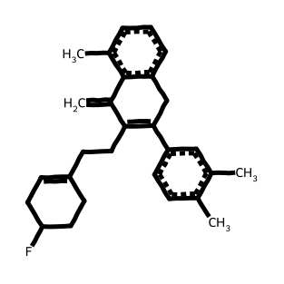 C=C1C(CCC2=CCC(F)CC2)=C(c2ccc(C)c(C)c2)Cc2cccc(C)c21